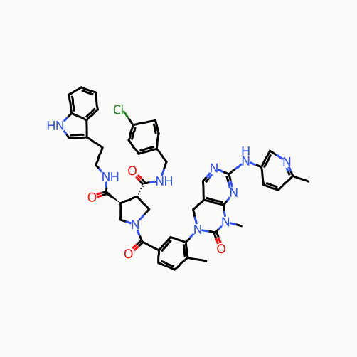 Cc1ccc(Nc2ncc3c(n2)N(C)C(=O)N(c2cc(C(=O)N4C[C@@H](C(=O)NCCc5c[nH]c6ccccc56)[C@H](C(=O)NCc5ccc(Cl)cc5)C4)ccc2C)C3)cn1